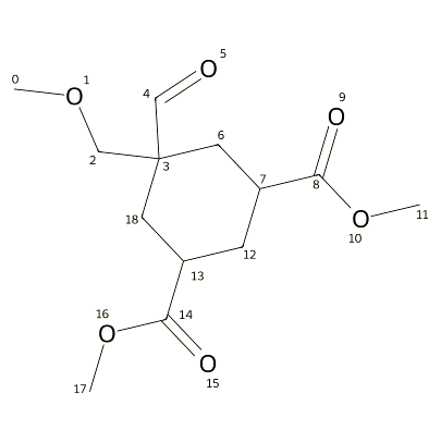 COCC1(C=O)CC(C(=O)OC)CC(C(=O)OC)C1